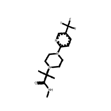 CNC(=O)C(C)(C)N1CCN(c2ccc(C(F)(F)F)cn2)CC1